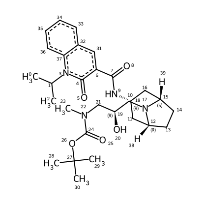 CC(C)n1c(=O)c(C(=O)N[C@H]2C[C@H]3CC[C@@H](C2)N3C[C@@H](O)CN(C)C(=O)OC(C)(C)C)cc2ccccc21